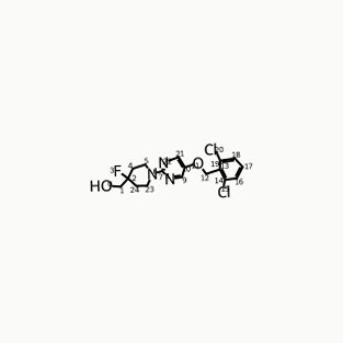 OCC1(F)CCN(c2ncc(OCc3c(Cl)cccc3Cl)cn2)CC1